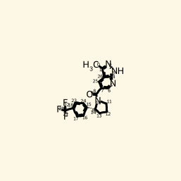 Cc1n[nH]c2ncc(C(=O)N3CCC[C@@H]3c3ccc(C(F)(F)F)cc3)cc12